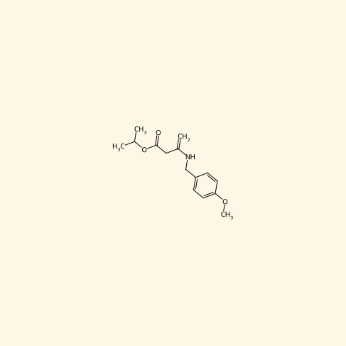 C=C(CC(=O)OC(C)C)NCc1ccc(OC)cc1